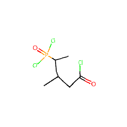 CC(CC(=O)Cl)C(C)P(=O)(Cl)Cl